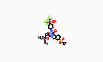 CC(C)(C)OC(=O)N1Cc2cc(S(=O)(=O)C3CC3)ccc2C1C(=O)Nc1ccc(C(O)(C(F)(F)F)C(F)(F)F)cc1